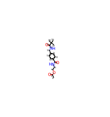 CC(=O)OCCNC(=O)c1ccc(CNC(=O)C(C)(C)C)cc1